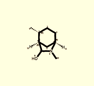 C[C@@H]1CC[C@@H]2C[C@H]1C(O)N2C